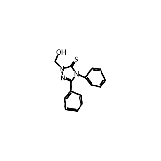 OCn1nc(-c2ccccc2)n(-c2ccccc2)c1=S